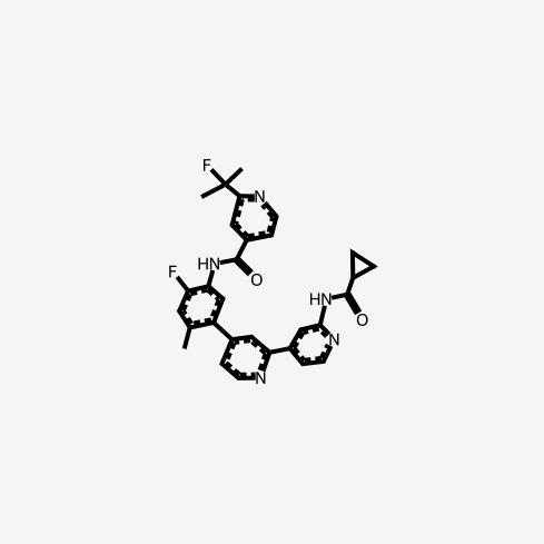 Cc1cc(F)c(NC(=O)c2ccnc(C(C)(C)F)c2)cc1-c1ccnc(-c2ccnc(NC(=O)C3CC3)c2)c1